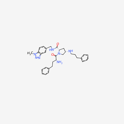 Cn1nnc2cc(CNC(=O)[C@@H]3C[C@H](NCCCc4ccccc4)CN3C(=O)[C@H](N)CCc3ccccc3)ccc21